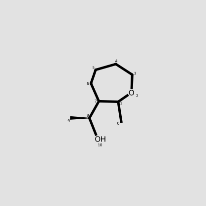 CC1OCCCCC1[C@H](C)O